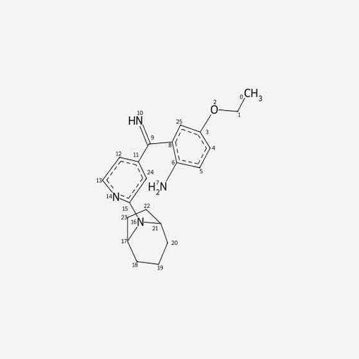 CCOc1ccc(N)c(C(=N)c2ccnc(N3C4CCCC3CC4)c2)c1